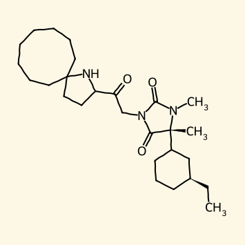 CC[C@H]1CCCC([C@]2(C)C(=O)N(CC(=O)C3CCC4(CCCCCCCC4)N3)C(=O)N2C)C1